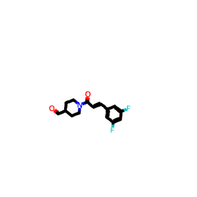 O=CC1CCN(C(=O)C=Cc2cc(F)cc(F)c2)CC1